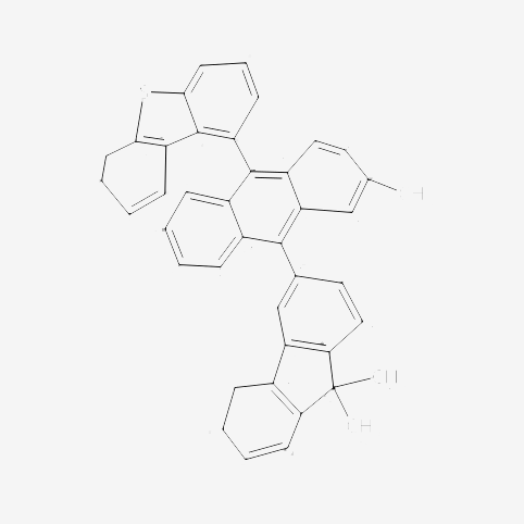 Cc1ccc2c(-c3cccc4sc5c(c34)C=CCC5)c3ccccc3c(-c3ccc4c(c3)C3=C(C=CCC3)C4(C)C)c2c1